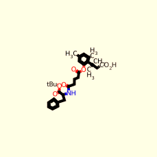 Cc1cc(C)c(C(C)(C)CC(=O)O)c(OC(=O)CCCC(=O)NC(Cc2ccccc2)C(=O)OC(C)(C)C)c1